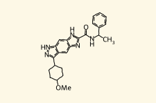 COC1CCC(c2n[nH]c3cc4[nH]c(C(=O)NC(C)c5ccccc5)nc4cc23)CC1